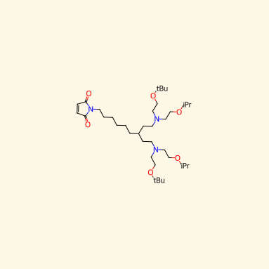 CC(C)OCCN(CCOC(C)(C)C)CCC(CCCCCCN1C(=O)C=CC1=O)CCN(CCOC(C)C)CCOC(C)(C)C